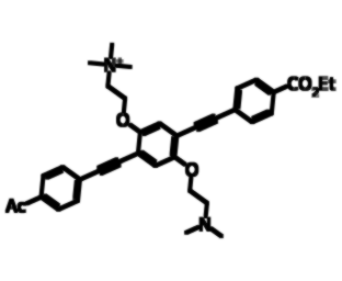 CCOC(=O)c1ccc(C#Cc2cc(OCC[N+](C)(C)C)c(C#Cc3ccc(C(C)=O)cc3)cc2OCCN(C)C)cc1